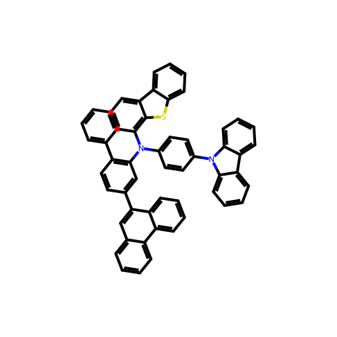 c1ccc(-c2ccc(-c3cc4ccccc4c4ccccc34)cc2N(c2ccc(-n3c4ccccc4c4ccccc43)cc2)c2cccc3c2sc2ccccc23)cc1